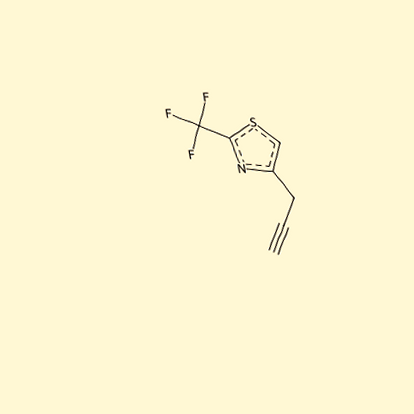 C#CCc1csc(C(F)(F)F)n1